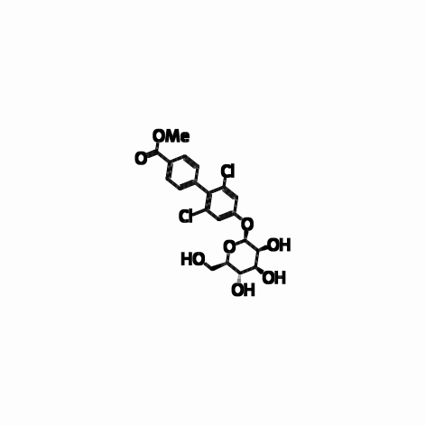 COC(=O)c1ccc(-c2c(Cl)cc(O[C@@H]3O[C@H](CO)[C@@H](O)[C@H](O)[C@@H]3O)cc2Cl)cc1